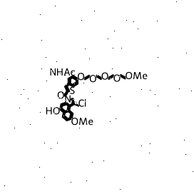 COCCOCCOCCOCCOc1cc2sc(C(=O)N3C[C@@H](CCl)c4c3cc(O)c3ccc(OC)cc43)cc2cc1NC(C)=O